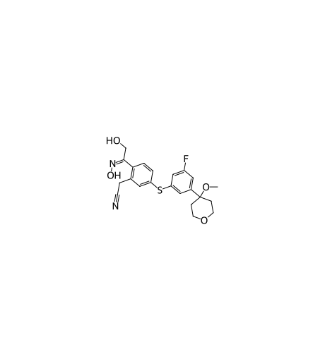 COC1(c2cc(F)cc(Sc3ccc(/C(CO)=N\O)c(CC#N)c3)c2)CCOCC1